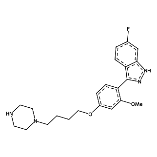 COc1cc(OCCCCN2CCNCC2)ccc1-c1n[nH]c2cc(F)ccc12